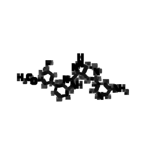 COc1cc(F)cc(-c2cccc3[nH]c(-c4n[nH]c5cnc(-c6cncc(N)c6)cc45)nc23)c1